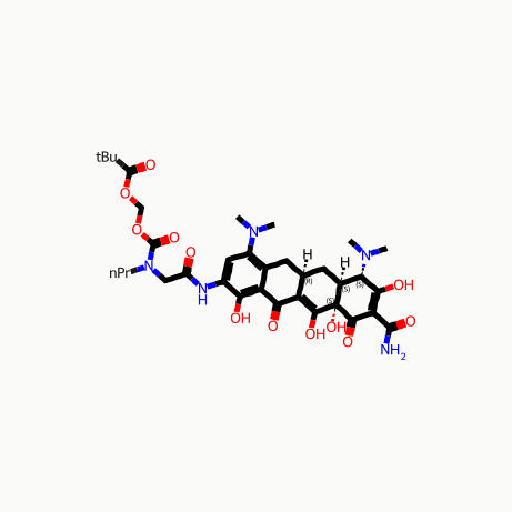 CCCN(CC(=O)Nc1cc(N(C)C)c2c(c1O)C(=O)C1=C(O)[C@]3(O)C(=O)C(C(N)=O)=C(O)[C@@H](N(C)C)[C@@H]3C[C@@H]1C2)C(=O)OCOC(=O)C(C)(C)C